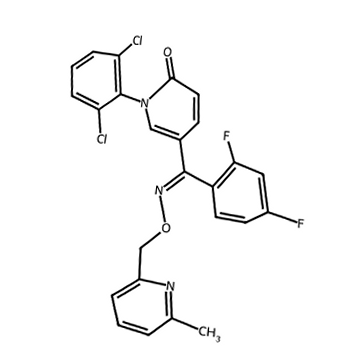 Cc1cccc(CON=C(c2ccc(=O)n(-c3c(Cl)cccc3Cl)c2)c2ccc(F)cc2F)n1